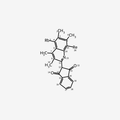 Cc1c(C)[c]([Rb])c2c(C)c(C)c(C3C(=O)c4ccccc4C3=O)nc2[c]1[Re]